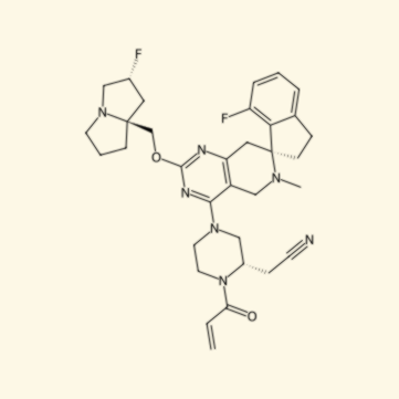 C=CC(=O)N1CCN(c2nc(OC[C@@]34CCCN3C[C@H](F)C4)nc3c2CN(C)[C@@]2(CCc4cccc(F)c42)C3)C[C@@H]1CC#N